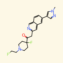 Cn1cc(-c2ccc3cnc(CC(=O)C4(F)CCN(CCF)CC4)cc3c2)cn1